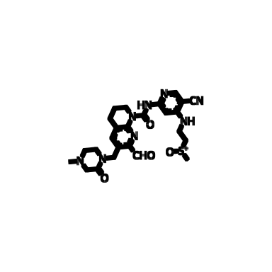 CN1CCN(Cc2cc3c(nc2C=O)N(C(=O)Nc2cc(NCC[S+](C)[O-])c(C#N)cn2)CCC3)C(=O)C1